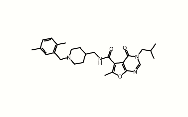 Cc1ccc(C)c(CN2CCC(CNC(=O)c3c(C)oc4ncn(CC(C)C)c(=O)c34)CC2)c1